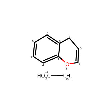 C1=COc2ccccc2C1.CC(=O)O